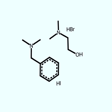 Br.CN(C)CCO.CN(C)Cc1ccccc1.I